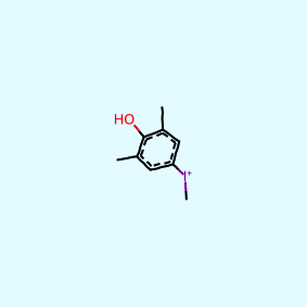 C[I+]c1cc(C)c(O)c(C)c1